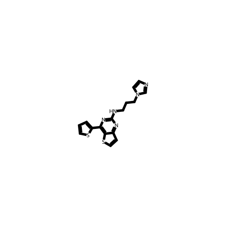 c1csc(-c2nc(NCCCn3ccnc3)nc3ccsc23)c1